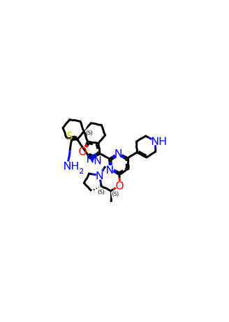 C[C@H](Oc1cc(C2=CCNCC2)nc(-c2noc3c2CCC[C@@]32CCCc3sc(N)c(C#N)c32)n1)[C@@H]1CCCN1C